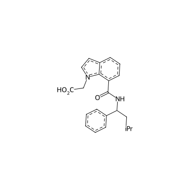 CC(C)CC(NC(=O)c1cccc2ccn(CC(=O)O)c12)c1ccccc1